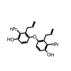 C=CCc1c(Oc2ccc(O)c(CCC)c2CC=C)ccc(O)c1CCC